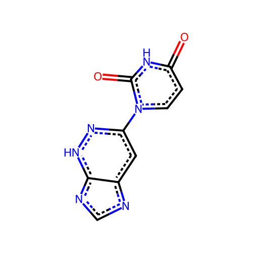 O=c1ccn(-c2cc3ncnc-3[nH]n2)c(=O)[nH]1